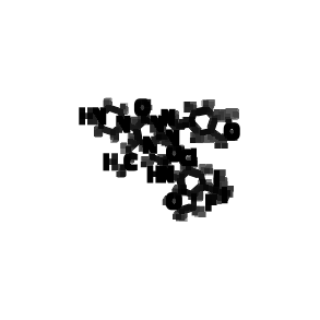 CCc1c(N2CCNCC2)c(=O)n2nc(-c3ccc4c(c3)COC4)nc2n1CC(=O)Nc1c(Cl)cc(C(F)(F)F)c2ccoc12